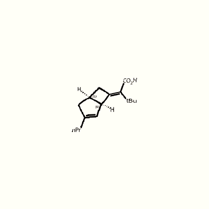 CCCC1=C[C@@H]2C(=C(C(=O)O)C(C)(C)C)C[C@@H]2C1